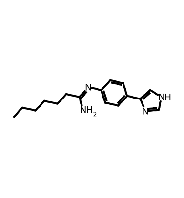 CCCCCC/C(N)=N/c1ccc(-c2c[nH]cn2)cc1